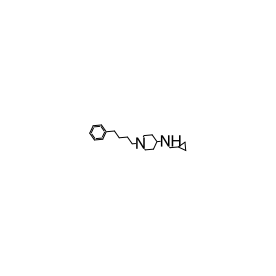 c1ccc(CCCCN2CCC(NCC3CC3)CC2)cc1